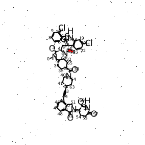 CN(C(=O)[C@H]1[C@H](c2cccc(Cl)c2F)[C@]2(C(=O)Nc3cc(Cl)ccc32)C2(CCCCC2)N1C)C1CCC(C(=O)N2CCC(C#Cc3cccc4c3CN(C3CCC(=O)NC3=O)C4=O)CC2)CC1